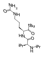 CC(C)N[C@H](C(=O)N[C@@H](CCCNC(N)=O)C(=O)C(C)(C)C)C(C)C